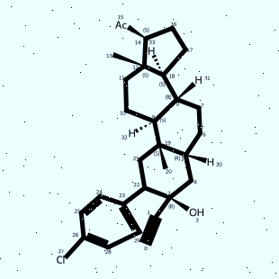 C#C[C@@]1(O)C[C@H]2CC[C@@H]3[C@H](CC[C@]4(C)[C@@H](C(C)=O)CC[C@@H]34)[C@@]2(C)CC1c1ccc(Cl)cc1